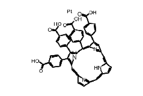 O=C(O)c1ccc(C2=Cc3cc4ccc(cc5nc(cc6[nH]c(c(-c7ccc(C(=O)O)cc7)c2n3)c(-c2ccc(C(=O)O)cc2)c6-c2ccc(C(=O)O)cc2)C=C5)[nH]4)cc1.[Pt]